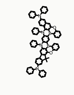 CC1(C)c2cc(N(c3ccccc3)c3ccccc3)ccc2-c2cc3c4c(c21)Oc1ccccc1B4c1cc2c(cc1N3c1ccccc1)N(c1ccccc1)c1c3c(cc4cc(N(c5ccccc5)c5ccccc5)ccc14)Oc1ccccc1B23